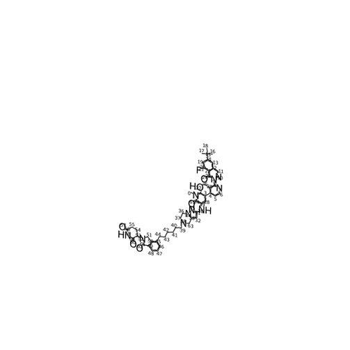 Cn1cc(-c2ccnc(-n3ncc4cc(C(C)(C)C)cc(F)c4c3=O)c2CO)cc(Nc2cc3n(n2)CCN(CCCCCCc2cccc4c2CN(C2CCC(=O)NC2=O)C4=O)C3)c1=O